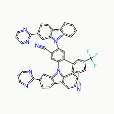 N#Cc1cc(-c2cc(-n3c4ccccc4c4ccc(-c5ncccn5)cc43)c(C#N)cc2-n2c3ccccc3c3ccc(-c4ncccn4)cc32)cc(C(F)(F)F)c1